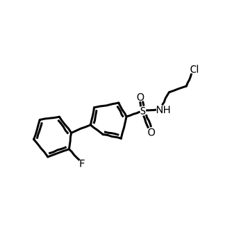 O=S(=O)(NCCCl)c1ccc(-c2ccccc2F)cc1